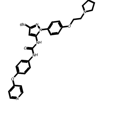 CC(C)(C)c1cc(NC(=O)Nc2ccc(Oc3ccncc3)cc2)n(-c2ccc(OCCN3CCCC3)cc2)n1